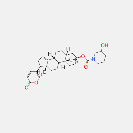 C[C@]12CC[C@H](OC(=O)N3CCCC(O)C3)C[C@H]1CC[C@H]1C3=CC[C@H](c4ccc(=O)oc4)[C@@]3(C)CC[C@@H]12